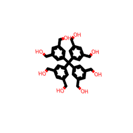 OCc1cc(CO)cc(C(c2cc(CO)cc(CO)c2)(c2cc(CO)cc(CO)c2)c2cc(CO)cc(CO)c2)c1